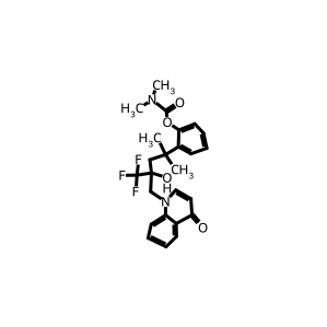 CN(C)C(=O)Oc1ccccc1C(C)(C)CC(O)(Cn1ccc(=O)c2ccccc21)C(F)(F)F